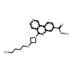 CCCCCOC1CN(c2nc3cc(C(=O)OC)ccc3c3cnccc23)C1